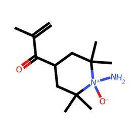 C=C(C)C(=O)C1CC(C)(C)[N+](N)([O-])C(C)(C)C1